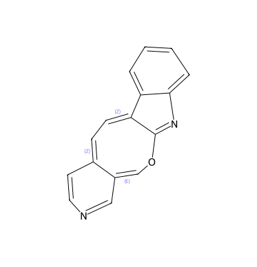 C1=C2\C(=Nc3ccccc32)O/C=c2/cncc/c2=C/1